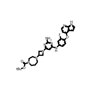 CC(C)(C)OC(=O)N1CCCN(C2CN(c3cc(Nc4ccc(Oc5ccnc6[nH]ccc56)c(F)c4)nc(N)n3)C2)CC1